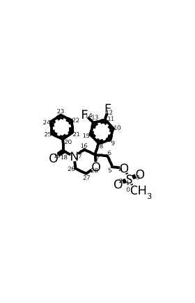 CS(=O)(=O)OCCC1(c2ccc(F)c(F)c2)CN(C(=O)c2ccccc2)CCO1